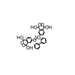 O=C(O)c1ccc(OSOc2ccc(C(=O)O)c(C(=O)O)c2)cc1C(=O)O.c1ccc(-c2ccccc2)cc1